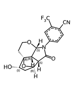 N#Cc1ccc(N2C(=O)[C@H]3[C@H]4[C@@H]2OCC[C@@]42O[C@@H]3C[C@@H]2O)cc1C(F)(F)F